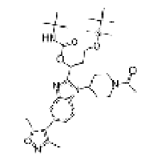 CC(=O)N1CCC(n2c([C@H](CCO[Si](C)(C)C(C)(C)C)OC(=O)NC(C)(C)C)nc3cc(-c4c(C)noc4C)ccc32)CC1